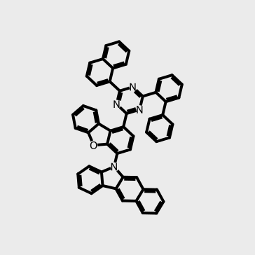 c1ccc(-c2ccccc2-c2nc(-c3cccc4ccccc34)nc(-c3ccc(-n4c5ccccc5c5cc6ccccc6cc54)c4oc5ccccc5c34)n2)cc1